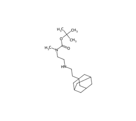 CN(CCNCCC12CC3CC(CC(C3)C1)C2)C(=O)OC(C)(C)C